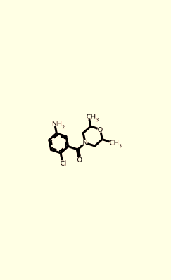 CC1CN(C(=O)c2cc(N)ccc2Cl)CC(C)O1